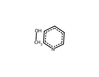 CO.c1ccncc1